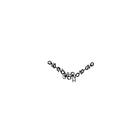 O=C(Nc1ccc(-[n+]2ccc(-c3cc[n+](-c4ccccc4)cc3)cc2)cc1)c1cccc(C(=O)Nc2ccc(-[n+]3ccc(-c4cc[n+](-c5ccccc5)cc4)cc3)cc2)c1